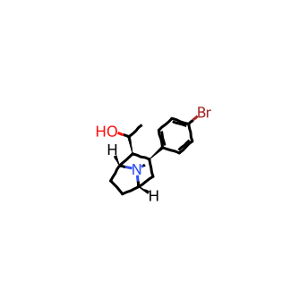 CC(O)[C@H]1[C@@H](c2ccc(Br)cc2)C[C@@H]2CC[C@H]1N2C